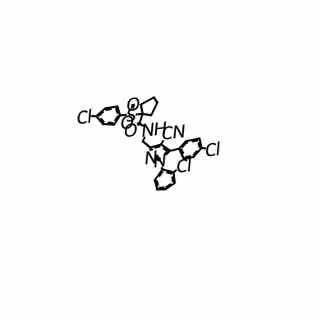 N#Cc1c(CNC(=O)C2(S(=O)(=O)c3ccc(Cl)cc3)CCCC2)nn(-c2ccccc2Cl)c1-c1ccc(Cl)cc1